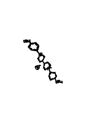 CC(C)(C)c1ccc(-[n+]2ccc(-c3cc[n+](-c4ccc(C(C)(C)C)cc4)cc3)cc2)cc1.[Cl-].[Cl-]